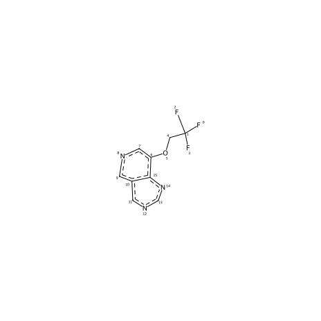 FC(F)(F)COc1cncc2cncnc12